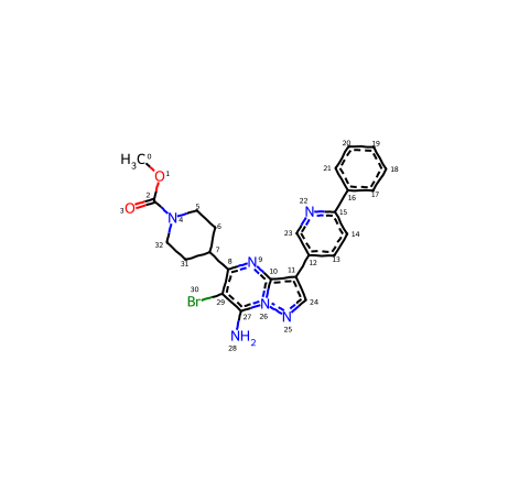 COC(=O)N1CCC(c2nc3c(-c4ccc(-c5ccccc5)nc4)cnn3c(N)c2Br)CC1